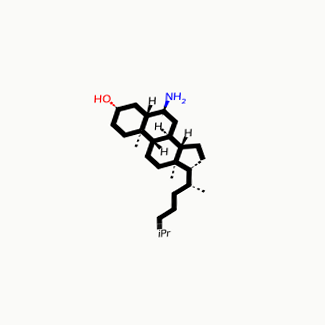 CC(C)CCC[C@@H](C)[C@H]1CC[C@H]2[C@@H]3C[C@H](N)[C@H]4C[C@@H](O)CC[C@]4(C)[C@H]3CC[C@]12C